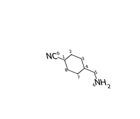 N#CC1CCC(CN)CC1